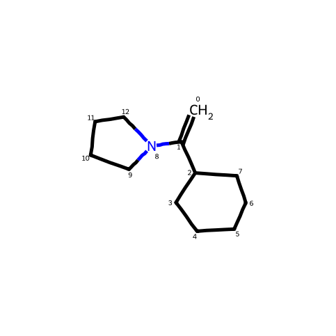 C=C(C1CCCCC1)N1CCCC1